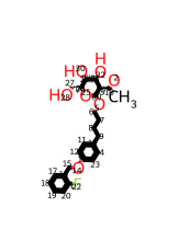 CC(=O)[C@H]1[C@H](OCCCCc2ccc(OCc3ccccc3F)cc2)O[C@H](CO)[C@@H](O)[C@@H]1O